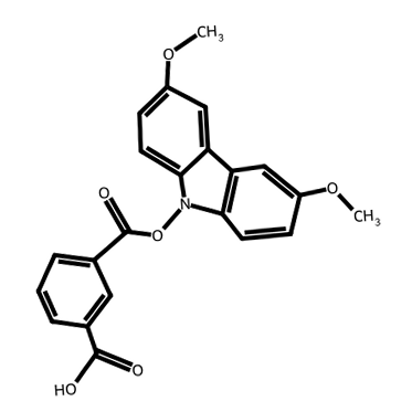 COc1ccc2c(c1)c1cc(OC)ccc1n2OC(=O)c1cccc(C(=O)O)c1